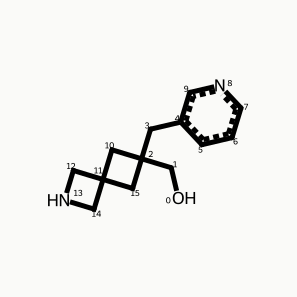 OCC1(Cc2cccnc2)CC2(CNC2)C1